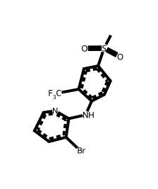 CS(=O)(=O)c1ccc(Nc2ncccc2Br)c(C(F)(F)F)c1